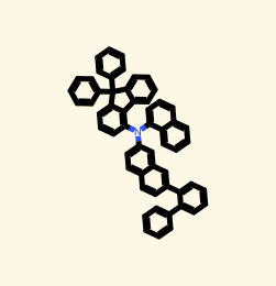 c1ccc(-c2ccccc2-c2ccc3ccc(N(c4cccc5c4-c4ccccc4C5(c4ccccc4)c4ccccc4)c4cccc5ccccc45)cc3c2)cc1